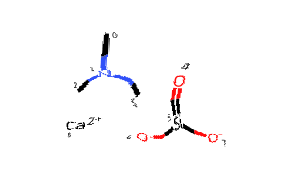 CN(C)C.O=[Si]([O-])[O-].[Ca+2]